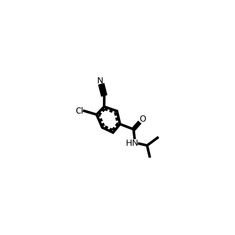 CC(C)NC(=O)c1ccc(Cl)c(C#N)c1